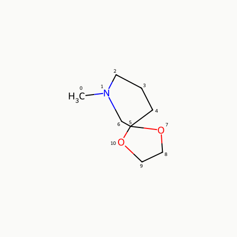 CN1CCCC2(C1)OCCO2